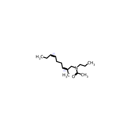 CC/C=C\CC/C=C(/C)CN(CCC)C(C)=O